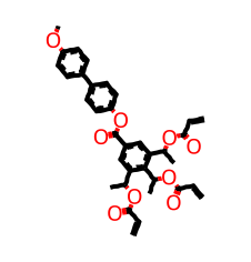 C=CC(=O)OC(C)c1cc(C(=O)Oc2ccc(-c3ccc(OC)cc3)cc2)cc(C(C)OC(=O)C=C)c1C(C)OC(=O)C=C